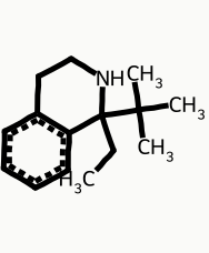 CCC1(C(C)(C)C)NCCc2ccccc21